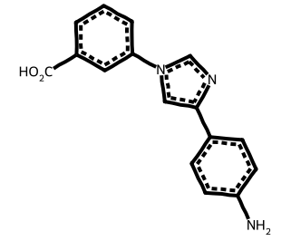 Nc1ccc(-c2cn(-c3cccc(C(=O)O)c3)cn2)cc1